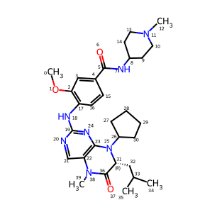 COc1cc(C(=O)NC2CCN(C)CC2)ccc1Nc1ncc2c(n1)N(C1CCCC1)[C@H](CC(C)C)C(=O)N2C